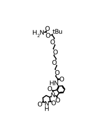 CC(C)(C)C(COCCOCCOCCOCC(=O)Nc1cccc2c1C(=O)N(C1CCC(=O)NC1=O)C2=O)OC(N)=O